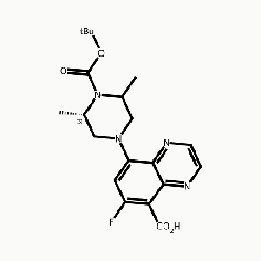 CC1CN(c2cc(F)c(C(=O)O)c3nccnc23)C[C@H](C)N1C(=O)OC(C)(C)C